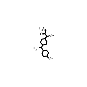 C=CC(=O)C(CCC)C1CCC(C(C)C2CCC(CCC)CC2)CC1